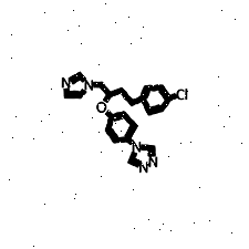 Clc1ccc(CCC(Cn2ccnc2)Oc2ccc(-n3cnnc3)cc2)cc1